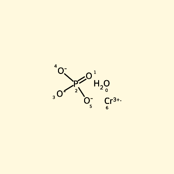 O.O=P([O-])([O-])[O-].[Cr+3]